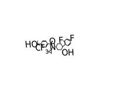 C[C@](O)(c1ccc(C(=O)N(C2CC2)[C@H]2CC[C@](CO)(c3ccc(F)cc3F)CC2)cc1)C(F)(F)F